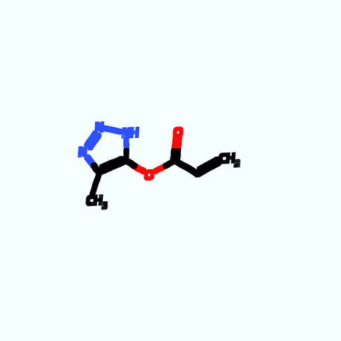 C=CC(=O)Oc1[nH]nnc1C